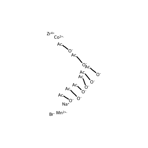 CC(=O)[O-].CC(=O)[O-].CC(=O)[O-].CC(=O)[O-].CC(=O)[O-].CC(=O)[O-].CC(=O)[O-].CC(=O)[O-].[Br-].[Co+2].[Mn+2].[Na+].[Zr+4]